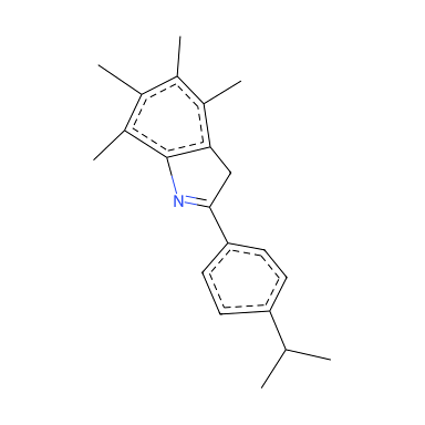 Cc1c(C)c(C)c2c(c1C)CC(c1ccc(C(C)C)cc1)=N2